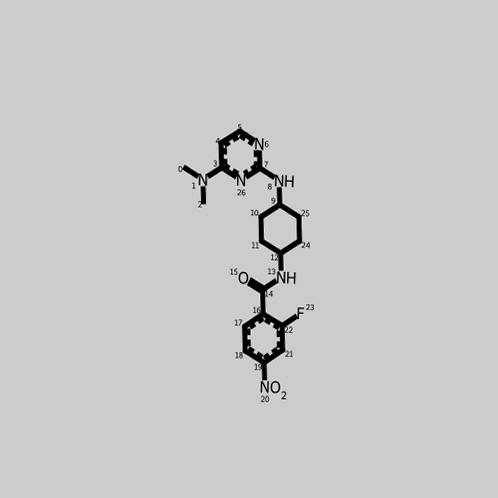 CN(C)c1ccnc(NC2CCC(NC(=O)c3ccc([N+](=O)[O-])cc3F)CC2)n1